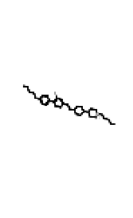 CCCCCc1ccc(-c2ccc(CCC3CCC(C4CC[SiH](CCCCC)CC4)CC3)cc2F)cc1